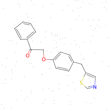 O=C(COc1ccc(Cc2cncs2)cc1)c1ccccc1